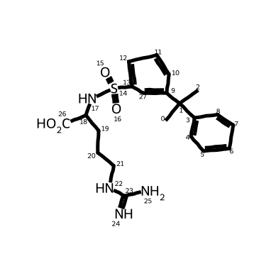 CC(C)(c1ccccc1)c1cccc(S(=O)(=O)NC(CCCNC(=N)N)C(=O)O)c1